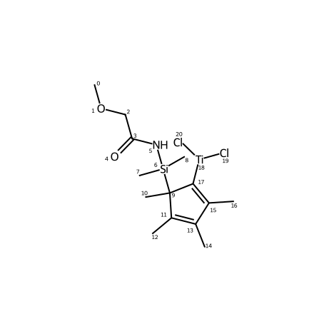 COCC(=O)N[Si](C)(C)C1(C)C(C)=C(C)C(C)=[C]1[Ti]([Cl])[Cl]